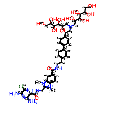 CCn1c(CNC(=O)c2nc(Cl)c(N)nc2N)[n+](CC)c2ccc(C(=O)NCCc3ccc(-c4ccc(CCN(CC(O)C(O)C(O)C(O)CO)CC(O)C(O)C(O)C(O)CO)cc4)cc3)cc21